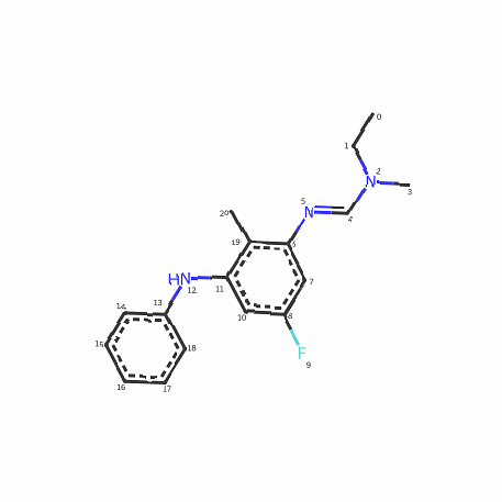 CCN(C)C=Nc1cc(F)cc(Nc2ccccc2)c1C